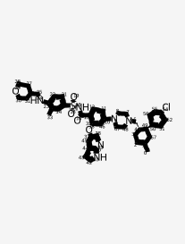 CC1=CC[C@H](CN2CCN(c3ccc(C(=O)NS(=O)(=O)c4ccc(NCC5CCOCC5)c(C)c4)c(Oc4cnc5[nH]ccc5c4)c3)CC2)[C@@H](c2ccc(Cl)cc2)C1